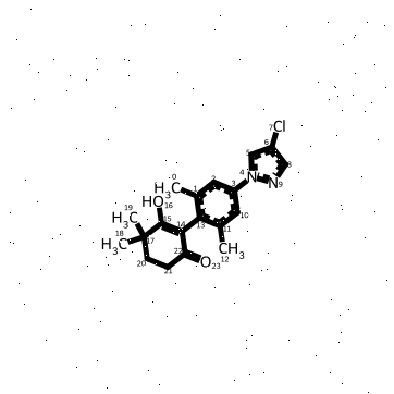 Cc1cc(-n2cc(Cl)cn2)cc(C)c1C1=C(O)C(C)(C)CCC1=O